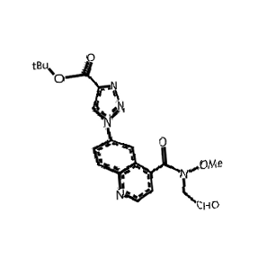 CON(CC=O)C(=O)c1ccnc2ccc(-n3cc(C(=O)OC(C)(C)C)nn3)cc12